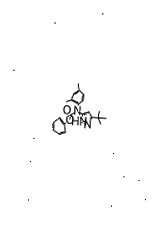 Cc1ccc(N(C(=O)Oc2ccccc2)c2cc(C(C)(C)C)n[nH]2)c(C)c1